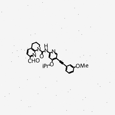 COc1cccc(C#Cc2cnc(NC(=O)N3CCCc4ccc(C=O)nc43)cc2OC(C)C)c1